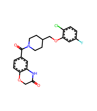 O=C1COc2ccc(C(=O)N3CCC(COc4cc(F)ccc4Cl)CC3)cc2N1